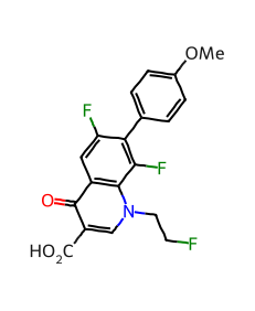 COc1ccc(-c2c(F)cc3c(=O)c(C(=O)O)cn(CCF)c3c2F)cc1